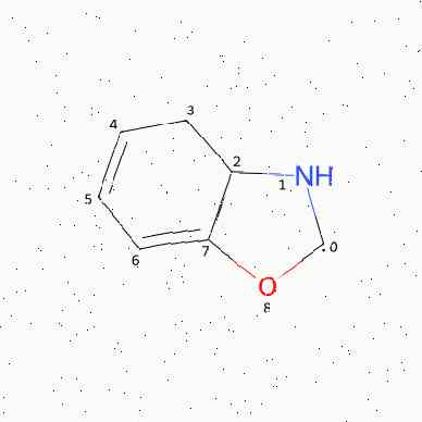 [CH]1NC2CC=CC=C2O1